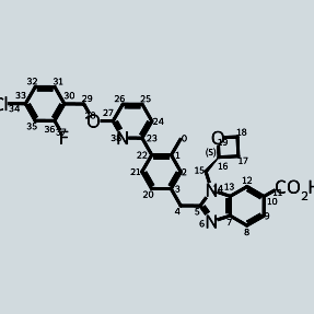 Cc1cc(Cc2nc3ccc(C(=O)O)cc3n2C[C@@H]2CCO2)ccc1-c1cccc(OCc2ccc(Cl)cc2F)n1